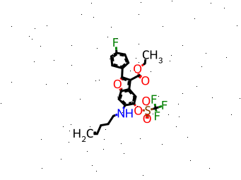 C=CCCCNc1cc2oc(-c3ccc(F)cc3)c(C(=O)OCC)c2cc1OS(=O)(=O)C(F)(F)F